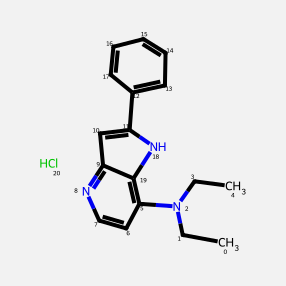 CCN(CC)c1ccnc2cc(-c3ccccc3)[nH]c12.Cl